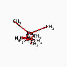 CCCCCCCCCCCCCCCCCCCCCCCCCCC[CH2][Pd][CH2]CCCCCCCCCCCCCCCCCCCCCCCCCCC.CCCCCCc1cc(C2=C(C)C(CCCC)=C(c3cc(CCCCCC)c(CCCCCC)c(CCCCCC)c3)[N+]2=[N-])cc(CCCCCC)c1CCCCCC